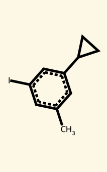 Cc1cc(I)cc(C2CC2)c1